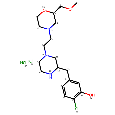 COC[C@H]1CN(CCN2CCNC(Cc3ccc(Cl)c(O)c3)C2)CCO1.Cl.Cl